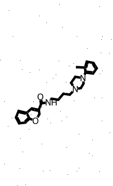 Cc1ccccc1N1CCN(CCCCNC(=O)C2=Cc3ccccc3OC2)CC1